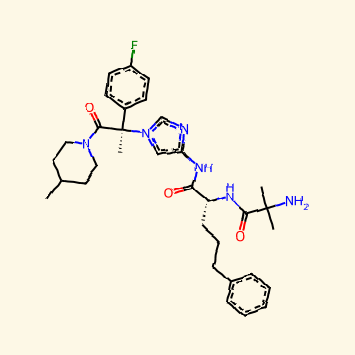 CC1CCN(C(=O)[C@@](C)(c2ccc(F)cc2)n2cnc(NC(=O)[C@@H](CCCc3ccccc3)NC(=O)C(C)(C)N)c2)CC1